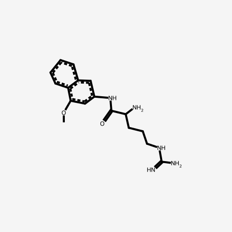 COc1cc(NC(=O)C(N)CCCNC(=N)N)cc2ccccc12